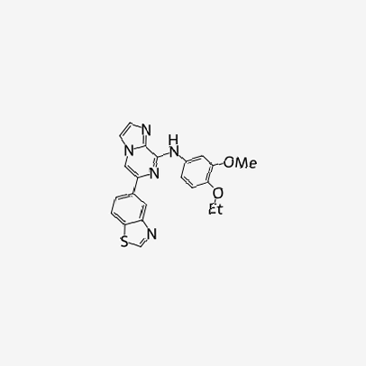 CCOc1ccc(Nc2nc(-c3ccc4scnc4c3)cn3ccnc23)cc1OC